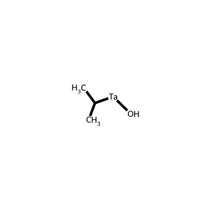 C[CH](C)[Ta][OH]